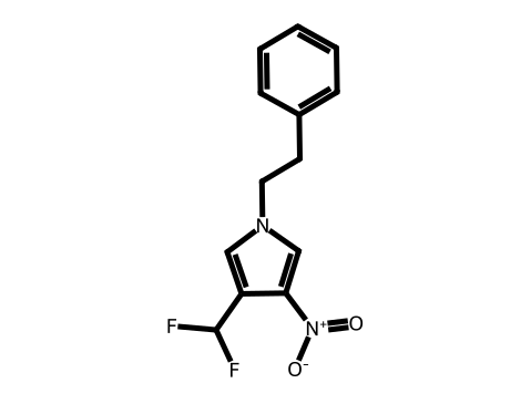 O=[N+]([O-])c1cn(CCc2ccccc2)cc1C(F)F